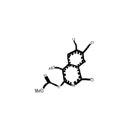 COC(=O)Oc1nc(Cl)c2cc(Cl)c(Cl)cc2c1O